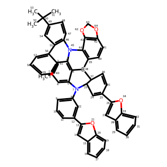 Cc1cc2c3c(c1)N(c1cccc(-c4cc5ccccc5o4)c1)C1C=C(c4cc5ccccc5o4)C=CC1B3c1ccc3c(c1N2c1ccc(C(C)(C)C)cc1-c1ccccc1)OCO3